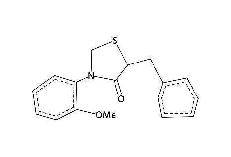 COc1ccccc1N1CSC(Cc2ccccc2)C1=O